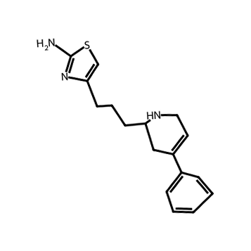 Nc1nc(CCCC2CC(c3ccccc3)=CCN2)cs1